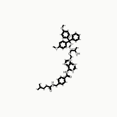 COc1ccc(C(OC[C@@H](OCn2cnc3c(NC(=O)c4ccc(CNC(=O)CCC(C)C)cc4)ncnc32)C(C)O)(c2ccccc2)c2ccc(OC)cc2)cc1